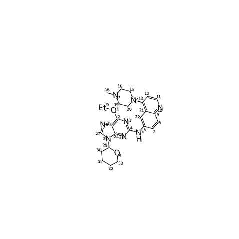 CCOc1nc(Nc2ccc3nccc(N4CCN(C)CC4)c3c2)nc2c1ncn2C1CCCCO1